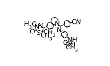 CN1N=C(c2ccc3c(c2)CCCN3C(=Nc2ccc(NS(C)(=O)=O)cc2)c2ccc(C#N)cc2)C(C)(C)SC1=O